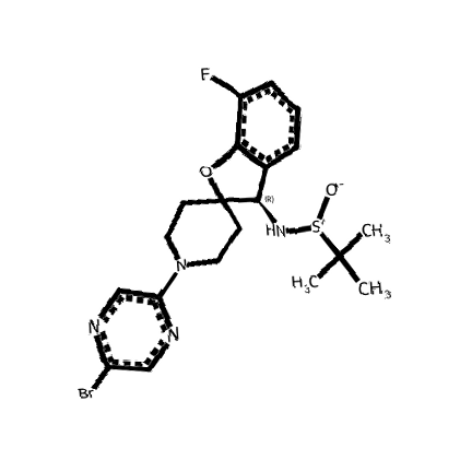 CC(C)(C)[S+]([O-])N[C@@H]1c2cccc(F)c2OC12CCN(c1cnc(Br)cn1)CC2